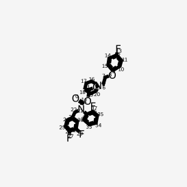 O=C(OC1C[N+]2(CCOc3ccc(F)cc3)CCC1CC2)N(Cc1ccc(F)c(F)c1)c1ccccc1F